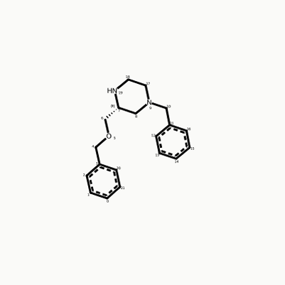 c1ccc(COC[C@H]2CN(Cc3ccccc3)CCN2)cc1